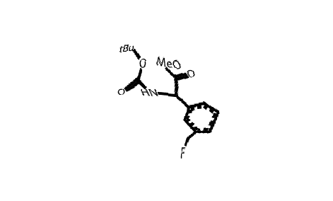 COC(=O)C(NC(=O)OC(C)(C)C)c1cccc(F)c1